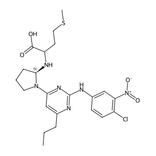 CCCc1cc(N2CCC[C@H]2NC(CCSC)C(=O)O)nc(Nc2ccc(Cl)c([N+](=O)[O-])c2)n1